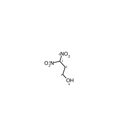 O=[N+]([O-])C(CCO)[N+](=O)[O-]